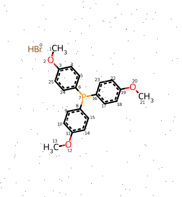 Br.COc1ccc(P(c2ccc(OC)cc2)c2ccc(OC)cc2)cc1